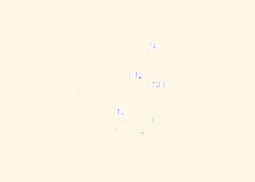 CCCN1C(=O)C(C)(C)c2cc3c(cc21)NC(c1cccnc1)N3